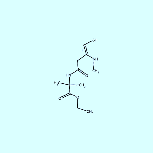 CCOC(=O)C(C)(C)NC(=O)C/C(=C/S)NC